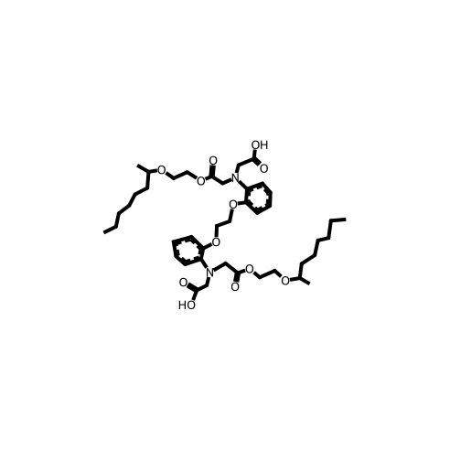 CCCCCCC(C)OCCOC(=O)CN(CC(=O)O)c1ccccc1OCCOc1ccccc1N(CC(=O)O)CC(=O)OCCOC(C)CCCCCC